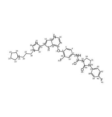 O=C(Nc1ccc(Oc2ccnc3cc(-c4cn(CCCN5CCCC5)cn4)sc23)c(F)c1)N1CCN(c2ccc(F)cc2)C1=O